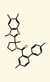 Cc1ccc(-c2ccc(C)cc2C(=O)N2CCCC2(C)c2nc3cc(C)c(C)cc3n2C)cc1